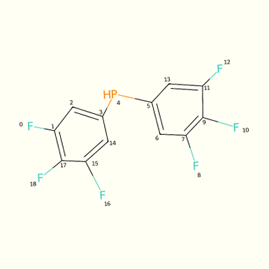 Fc1cc(Pc2cc(F)c(F)c(F)c2)cc(F)c1F